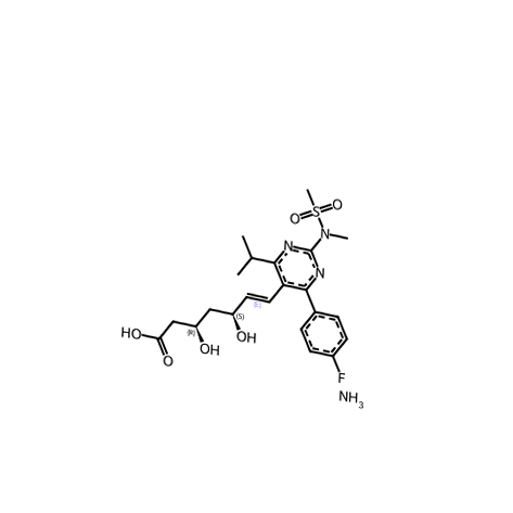 CC(C)c1nc(N(C)S(C)(=O)=O)nc(-c2ccc(F)cc2)c1/C=C/[C@@H](O)C[C@@H](O)CC(=O)O.N